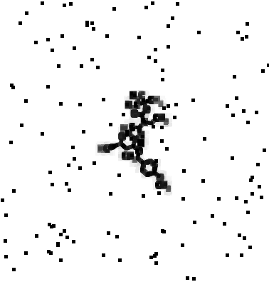 C#C[C@H]1O[C@@H]2SC(N(CC)C(=O)OC(C)(C)C)=N[C@@H]2[C@@H](OCc2ccc(OC)cc2)[C@@H]1C